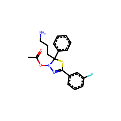 CC(=O)ON1N=C(c2cccc(F)c2)SC1(CCCN)c1ccccc1